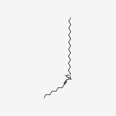 CCCCCCCC#C[Si](C)(C)CCCCCCCCCCCCCCCCC